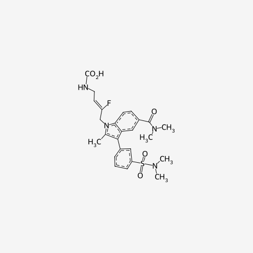 Cc1c(-c2cccc(S(=O)(=O)N(C)C)c2)c2cc(C(=O)N(C)C)ccc2n1CC(F)=CCNC(=O)O